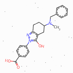 CN(Cc1ccccc1)C1CCc2nn(-c3ccc(C(=O)O)cc3)c(O)c2C1